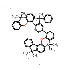 CC1(C)c2ccccc2Sc2c1ccc1c2-c2ccc(-c3cccc4c3Oc3c(ccc5c3-c3ccccc3C5(C)C)[Si]4(C)C)cc2C1(C)c1ccccc1